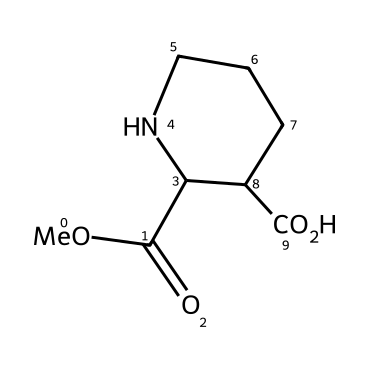 COC(=O)C1NCCCC1C(=O)O